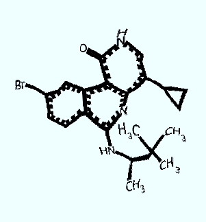 C[C@@H](Nc1nc2c(C3CC3)c[nH]c(=O)c2c2cc(Br)ccc12)C(C)(C)C